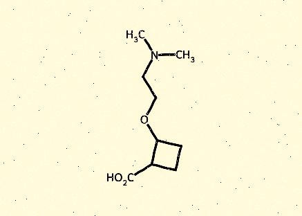 CN(C)CCOC1CCC1C(=O)O